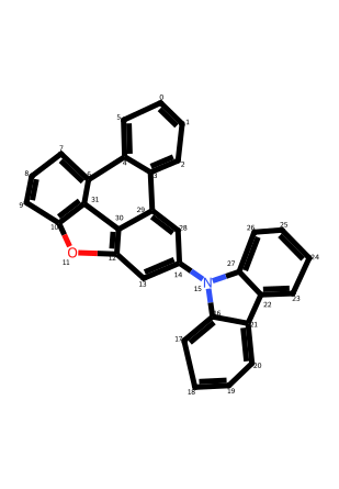 c1ccc2c(c1)c1cccc3oc4cc(-n5c6ccccc6c6ccccc65)cc2c4c31